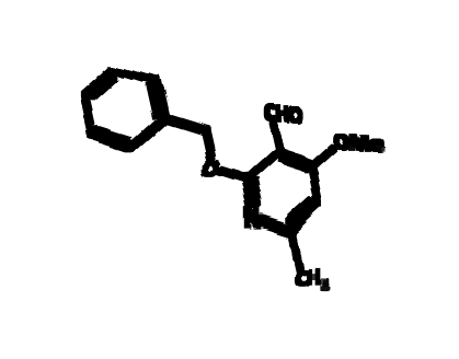 COc1cc(C)nc(OCc2ccccc2)c1C=O